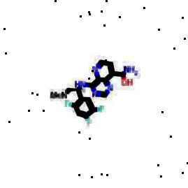 CNC[C@@H](Nc1ncnc2c(C(N)O)ccnc12)c1cc(F)c(F)cc1F